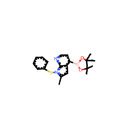 Cc1cc2c(B3OC(C)(C)C(C)(C)O3)ccnc2n1Sc1ccccc1